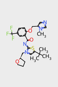 Cn1cncc1COc1ccc(C(F)(F)F)cc1C(=O)/N=c1\sc(C(C)(C)C)cn1C[C@H]1CCCO1